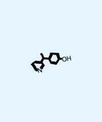 CC(c1ccc(O)cc1)c1cccnc1